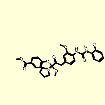 COC(=O)c1ccc(OC(OC)(C(=O)Cc2ccc(NC(=O)Nc3ccccc3Cl)c(OC)c2)N2CCCC2)cc1